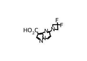 O=C(O)c1cnn2ccc(N3CC(F)(F)C3)nc12